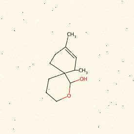 CC1=CC(C)C2(CCCOC2O)CC1